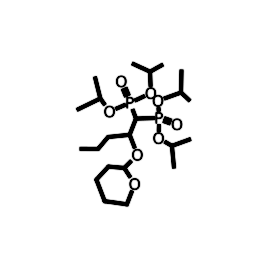 CCCC(OC1CCCCO1)C(P(=O)(OC(C)C)OC(C)C)P(=O)(OC(C)C)OC(C)C